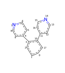 c1ccc(-c2ccncc2)c(-c2ccncc2)c1